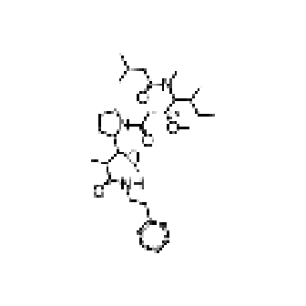 CCC(C)C([C@@H](CC(=O)N1CCCC1C(OC)C(C)C(=O)NCCc1ccccc1)OC)N(C)C(=O)CC(C)C